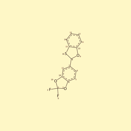 FC1(F)Oc2ccc(C3Oc4ccccc4S3)cc2O1